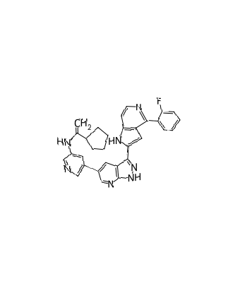 C=C(Nc1cncc(-c2cnc3[nH]nc(-c4cc5c(-c6ccccc6F)nccc5[nH]4)c3c2)c1)C1CCCC1